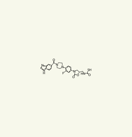 O=C(S)NCC1CN(c2ccc(N3CCN(C(=O)c4ccc5[nH]cnc5c4)CC3)c(F)c2)C(=O)O1